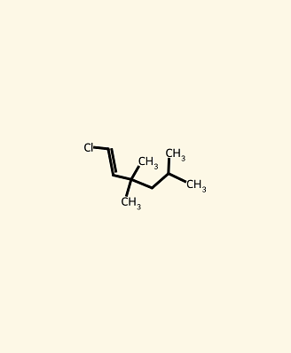 CC(C)CC(C)(C)C=CCl